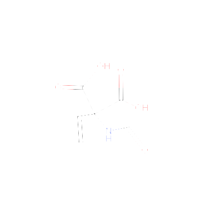 C=CC(N[C]=O)(C(=O)O)C(=O)O